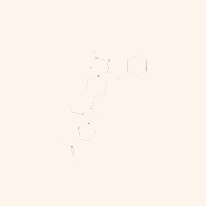 CCC1C(N2CCC3(CC2)CC(=O)NN3Cc2ccccc2)CC12CCN(C(=O)O)C2